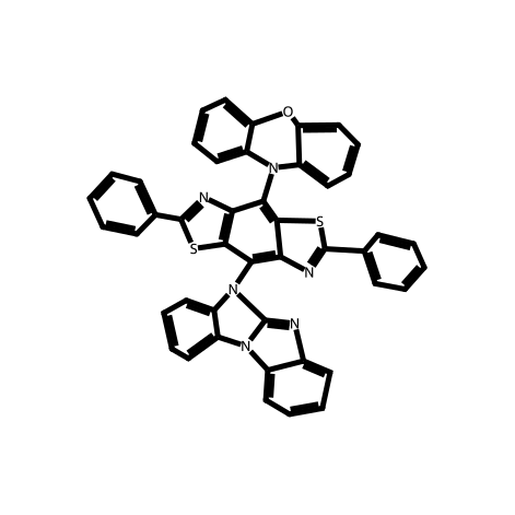 c1ccc(-c2nc3c(-n4c5ccccc5n5c6ccccc6nc45)c4sc(-c5ccccc5)nc4c(N4c5ccccc5Oc5ccccc54)c3s2)cc1